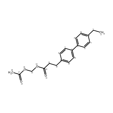 CCc1ccc(-c2ccc(CCC(=O)OCOC(C)=O)cc2)cc1